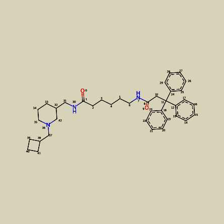 O=C(CCCCCNC(=O)CC(c1ccccc1)(c1ccccc1)c1ccccc1)NCC1CCCN(CC2CCC2)C1